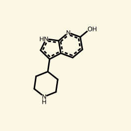 Oc1ccc2c(C3CCNCC3)c[nH]c2n1